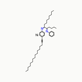 CCCCCCCCCCCCCCC#Cc1ccc(N=C(CCCCCCCC)C(CCCC)=Nc2ccccc2)cc1.[Ni]